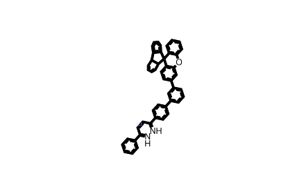 N=C(/C=C\C(=N)c1ccc(-c2cccc(-c3ccc4c(c3)Oc3ccccc3C43c4ccccc4C4C=CC=CC43)c2)cc1)c1ccccc1